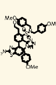 COc1ccc(CN(Cc2ccc(OC)cc2)S(=O)(=O)c2c(CCO)ccc(-c3cccc4sc(N)nc34)c2-c2nnnn2Cc2ccc(OC)cc2)cc1